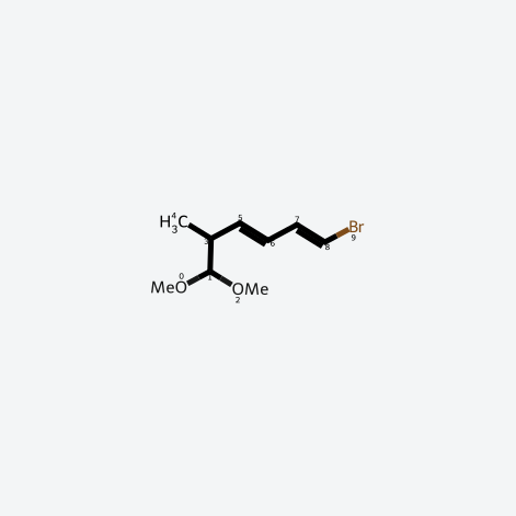 COC(OC)C(C)/C=C/C=C/Br